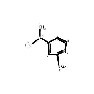 CNc1cc(N(C)C)ccn1